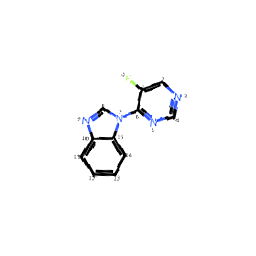 Fc1cncnc1-n1cnc2ccccc21